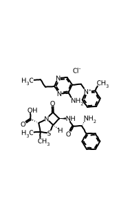 CC1(C)S[C@@H]2[C@H](NC(=O)[C@H](N)c3ccccc3)C(=O)N2[C@H]1C(=O)O.CCCc1ncc(C[n+]2ccccc2C)c(N)n1.[Cl-]